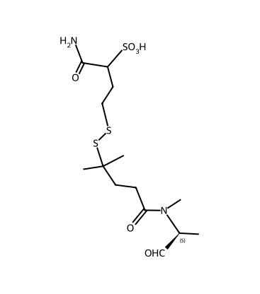 C[C@@H](C=O)N(C)C(=O)CCC(C)(C)SSCCC(C(N)=O)S(=O)(=O)O